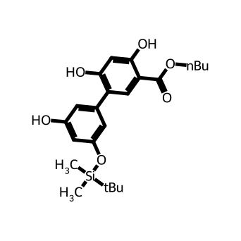 CCCCOC(=O)c1cc(-c2cc(O)cc(O[Si](C)(C)C(C)(C)C)c2)c(O)cc1O